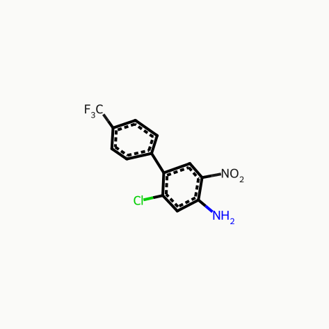 Nc1cc(Cl)c(-c2ccc(C(F)(F)F)cc2)cc1[N+](=O)[O-]